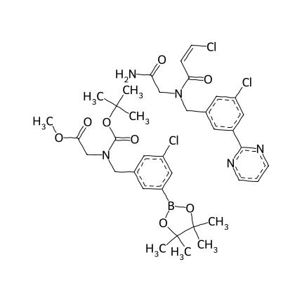 COC(=O)CN(Cc1cc(Cl)cc(B2OC(C)(C)C(C)(C)O2)c1)C(=O)OC(C)(C)C.NC(=O)CN(Cc1cc(Cl)cc(-c2ncccn2)c1)C(=O)/C=C\Cl